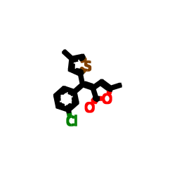 CC1=CC(=C(c2cccc(Cl)c2)c2cc(C)cs2)C(=O)O1